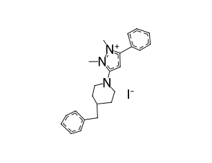 Cn1c(N2CCC(Cc3ccccc3)CC2)cc(-c2ccccc2)[n+]1C.[I-]